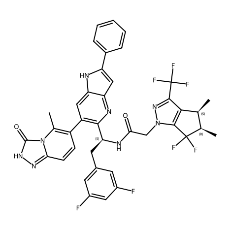 Cc1c(-c2cc3[nH]c(-c4ccccc4)cc3nc2[C@H](Cc2cc(F)cc(F)c2)NC(=O)Cn2nc(C(F)(F)F)c3c2C(F)(F)[C@H](C)[C@@H]3C)ccc2n[nH]c(=O)n12